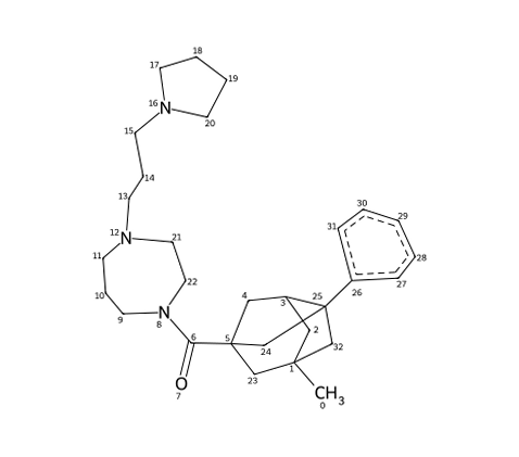 CC12CC3CC(C(=O)N4CCCN(CCCN5CCCC5)CC4)(C1)CC3(c1ccccc1)C2